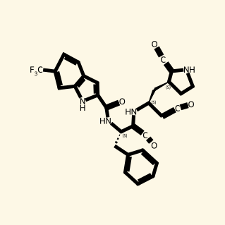 O=C=C[C@H](C[C@@H]1CCNC1=C=O)NC(=C=O)[C@H](Cc1ccccc1)NC(=O)c1cc2ccc(C(F)(F)F)cc2[nH]1